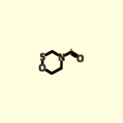 O=[C]N1CCOSC1